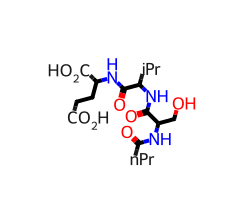 CCCC(=O)NC(CO)C(=O)NC(C(=O)NC(CCC(=O)O)C(=O)O)C(C)C